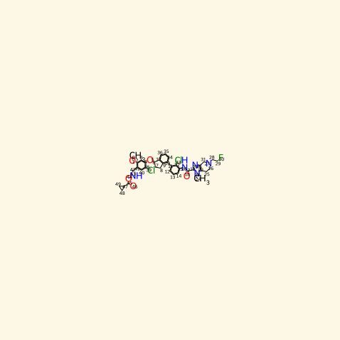 COc1cc(OC2CCc3c(-c4cccc(NC(=O)c5nc6c(n5C)CCN(CCF)C6)c4Cl)cccc32)c(Cl)cc1CNOC(=O)C1CC1